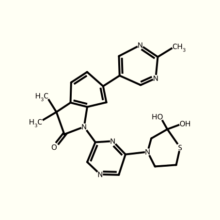 Cc1ncc(-c2ccc3c(c2)N(c2cncc(N4CCSC(O)(O)C4)n2)C(=O)C3(C)C)cn1